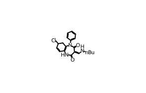 CCCCN/C=C1/C(=O)NC2=C(CC(Cl)C=C2)N(c2ccccc2)C1=O